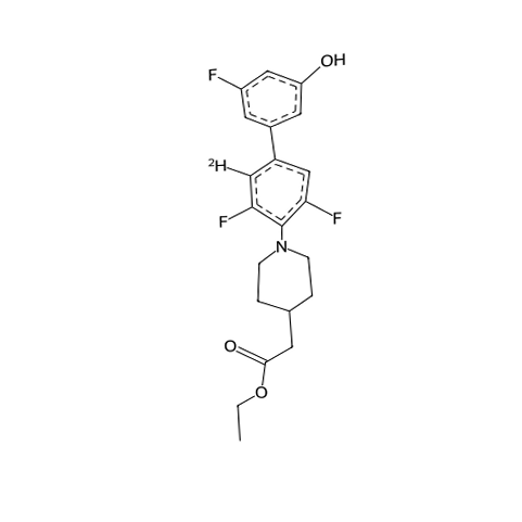 [2H]c1c(-c2cc(O)cc(F)c2)cc(F)c(N2CCC(CC(=O)OCC)CC2)c1F